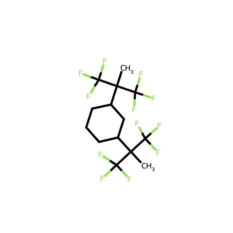 CC(C1CCCC(C(C)(C(F)(F)F)C(F)(F)F)C1)(C(F)(F)F)C(F)(F)F